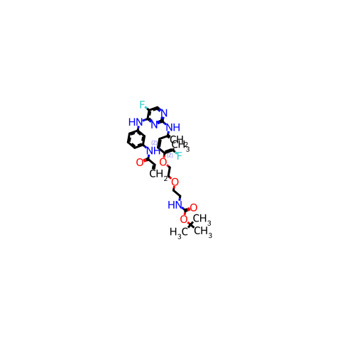 C=CC(=O)Nc1cccc(Nc2nc(NC(=C)/C=C\C(OCCOCCNC(=O)OC(C)(C)C)=C(/C)F)ncc2F)c1